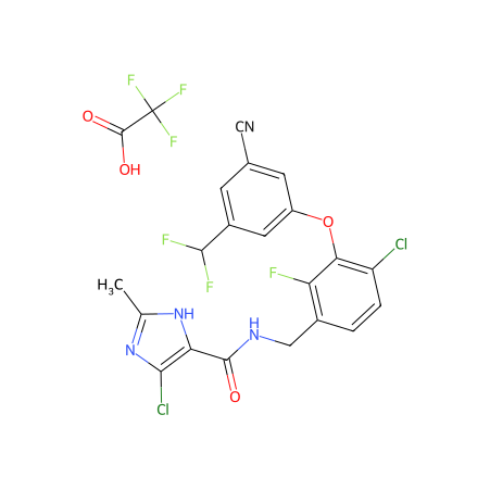 Cc1nc(Cl)c(C(=O)NCc2ccc(Cl)c(Oc3cc(C#N)cc(C(F)F)c3)c2F)[nH]1.O=C(O)C(F)(F)F